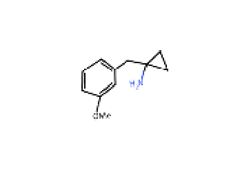 COc1cccc(CC2(N)CC2)c1